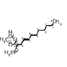 CCCCCCCC=CC[Si](OC)(OC)OC